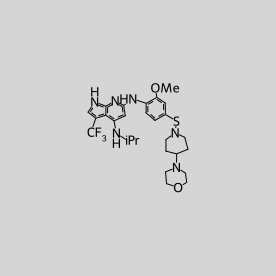 COc1cc(SN2CCC(N3CCOCC3)CC2)ccc1Nc1cc(NC(C)C)c2c(C(F)(F)F)c[nH]c2n1